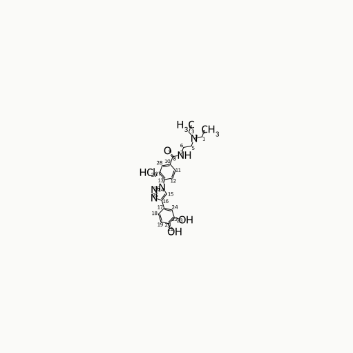 CCN(CC)CCNC(=O)c1ccc(-n2cc(-c3ccc(O)c(O)c3)nn2)cc1.Cl